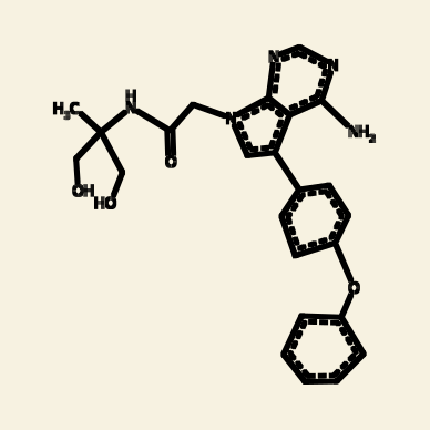 CC(CO)(CO)NC(=O)Cn1cc(-c2ccc(Oc3ccccc3)cc2)c2c(N)ncnc21